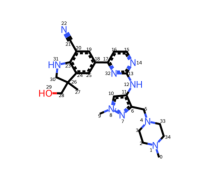 CN1CCN(Cc2nn(C)cc2Nc2nccc(-c3cc(C#N)c4c(c3)C(C)(CO)CN4)n2)CC1